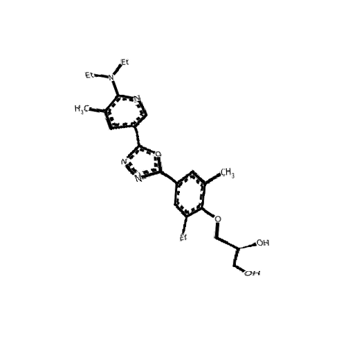 CCc1cc(-c2nnc(-c3cnc(N(CC)CC)c(C)c3)o2)cc(C)c1OC[C@@H](O)CO